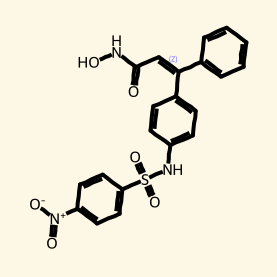 O=C(/C=C(/c1ccccc1)c1ccc(NS(=O)(=O)c2ccc([N+](=O)[O-])cc2)cc1)NO